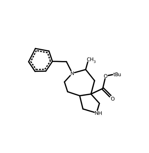 CC1CC2(C(=O)OC(C)(C)C)CNCC2CCN1Cc1ccccc1